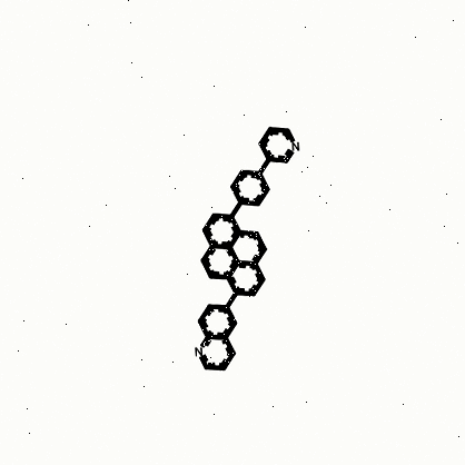 c1cncc(-c2ccc(-c3ccc4ccc5c(-c6ccc7ncccc7c6)ccc6ccc3c4c65)cc2)c1